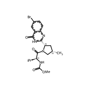 COC(=O)N[C@H](C(=O)N1C[C@@H](C)C[C@H]1c1nc2ccc(Br)cc2c(=O)[nH]1)C(C)C